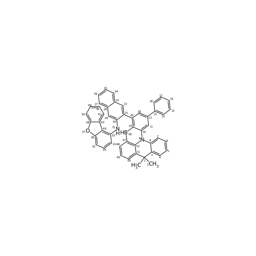 CC1(C)c2ccccc2N2c3cc(-c4ccccc4)cc(-c4cc5ccccc5cc4Nc4cccc5oc6ccccc6c45)c3Bc3cccc1c32